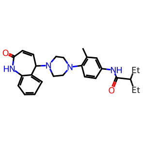 CCC(CC)C(=O)Nc1ccc(N2CCN(C3C=CC(=O)Nc4ccccc43)CC2)c(C)c1